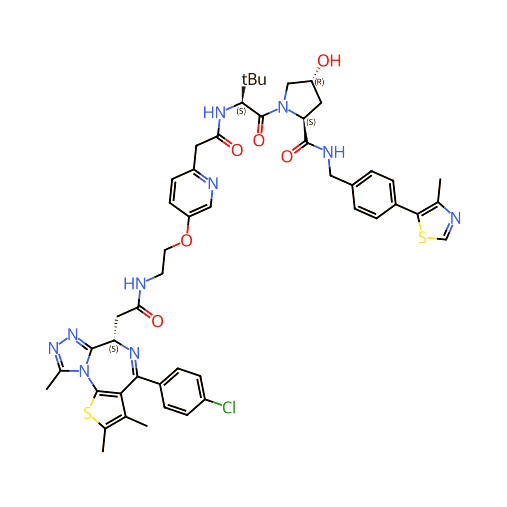 Cc1ncsc1-c1ccc(CNC(=O)[C@@H]2C[C@@H](O)CN2C(=O)[C@@H](NC(=O)Cc2ccc(OCCNC(=O)C[C@@H]3N=C(c4ccc(Cl)cc4)c4c(sc(C)c4C)-n4c(C)nnc43)cn2)C(C)(C)C)cc1